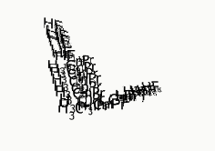 CCCC.CCCC.CCCC.CCCC.CCCC.CCCC.CCCC.CCCC.CCCC.CCCC.F.F.F.F.F.F.F.F.F.F